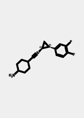 NC1CCC(C#[N+][C@H]2C[C@@H]2c2ccc(F)c(F)c2)CC1